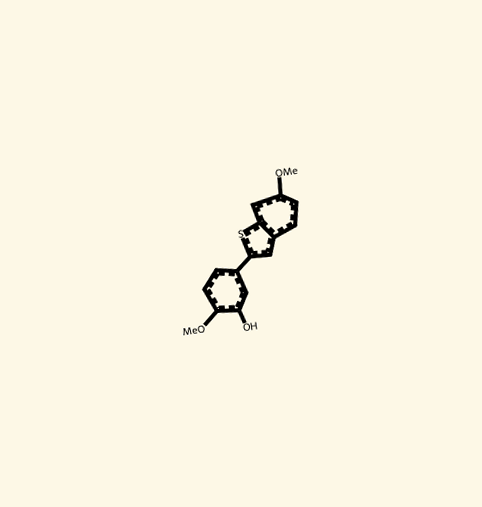 COc1ccc2cc(-c3ccc(OC)c(O)c3)sc2c1